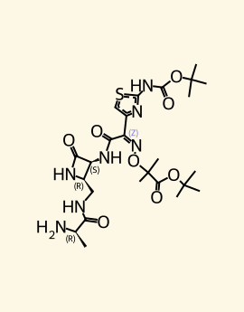 C[C@@H](N)C(=O)NC[C@H]1NC(=O)[C@H]1NC(=O)/C(=N\OC(C)(C)C(=O)OC(C)(C)C)c1csc(NC(=O)OC(C)(C)C)n1